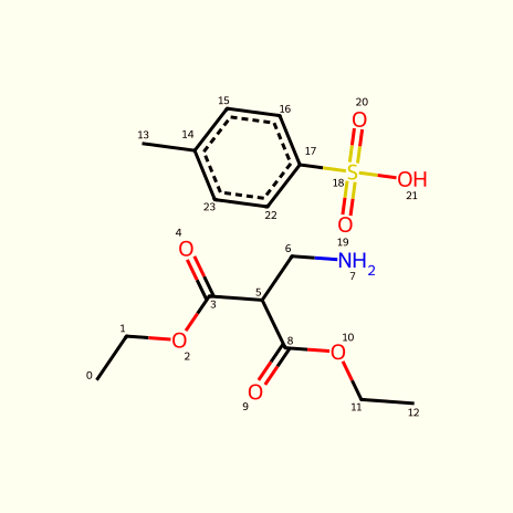 CCOC(=O)C(CN)C(=O)OCC.Cc1ccc(S(=O)(=O)O)cc1